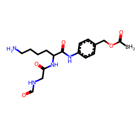 BC(=O)OCc1ccc(NC(=O)C(CCCCN)NC(=O)CNC=O)cc1